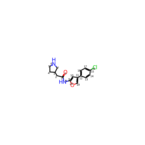 O=C(CC1CCNC1)Nc1cc(-c2ccc(Cl)cc2)co1